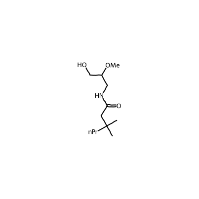 CCCC(C)(C)CC(=O)NCC(CO)OC